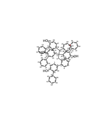 Oc1ccc(-c2ccccc2CC(c2ccc(O)c(-c3ccccc3)c2)(c2ccc(O)c(-c3ccccc3)c2)C(c2ccccc2)c2ccc(O)c(-c3ccccc3)c2)cc1-c1ccccc1